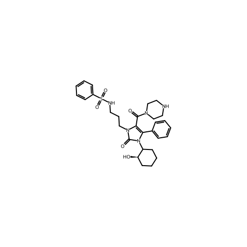 O=C(c1c(-c2ccccc2)n(C2CCCC[C@H]2O)c(=O)n1CCCNS(=O)(=O)c1ccccc1)N1CCNCC1